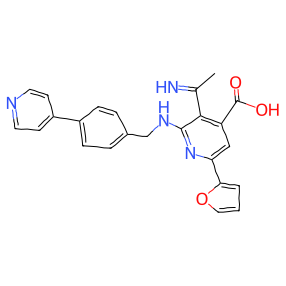 CC(=N)c1c(C(=O)O)cc(-c2ccco2)nc1NCc1ccc(-c2ccncc2)cc1